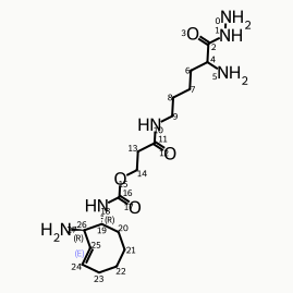 NNC(=O)C(N)CCCCNC(=O)CCOC(=O)N[C@@H]1CCCC/C=C/[C@H]1N